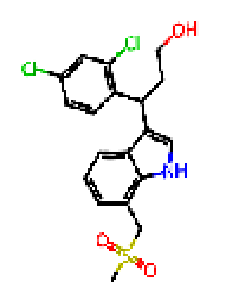 CS(=O)(=O)Cc1cccc2c(C(CCO)c3ccc(Cl)cc3Cl)c[nH]c12